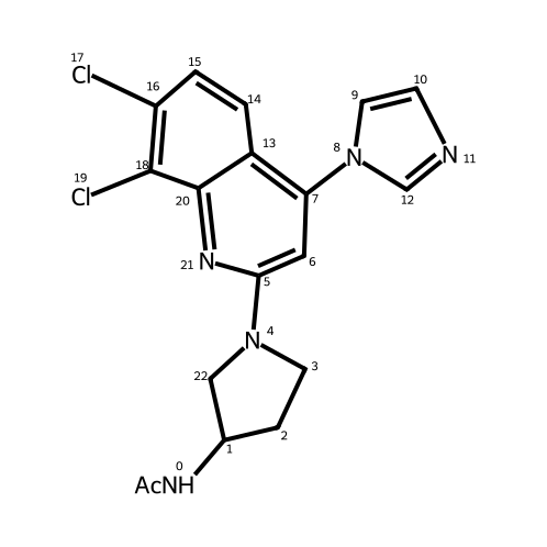 CC(=O)NC1CCN(c2cc(-n3ccnc3)c3ccc(Cl)c(Cl)c3n2)C1